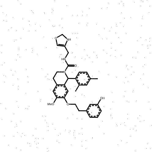 COc1cc2c(cc1OCCc1cccc(O)c1)C(c1ccc(C)cc1C)N(C(=O)NCC1=COCN1)CC2